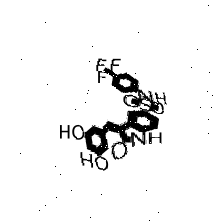 O=C1Nc2ccc(S(=O)(=O)Nc3ccc(C(F)(F)F)cc3)cc2C1=Cc1cc(O)cc(O)c1